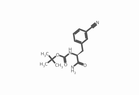 CC(C)(C)OC(=O)N[C@@H](Cc1cccc(C#N)c1)C(N)=O